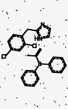 C=C(C)B(c1ccccc1)c1ccccc1.Clc1ccc(Cc2ncc[nH]2)c(Cl)c1